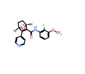 O=C(Nc1cccc(OC(F)(F)F)c1F)C1=C(c2ccncc2)[C@@H]2CC[C@H]1O2